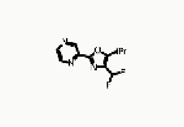 CC(C)c1oc(-c2cnccn2)nc1C(F)F